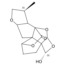 C[C@@H]1COC2CC34C5CCC36C(O[C@@H]6O)OC4(C(=O)O5)C21